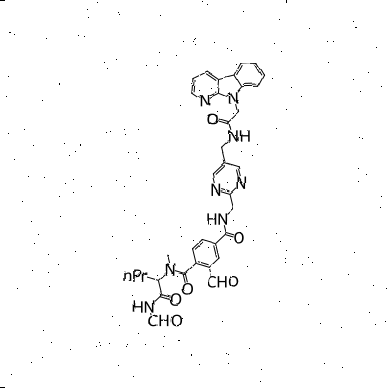 CCCC(C(=O)NC=O)N(C)C(=O)c1ccc(C(=O)NCc2ncc(CNC(=O)Cn3c4ccccc4c4cccnc43)cn2)cc1C=O